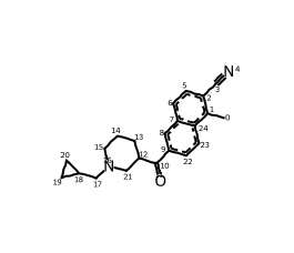 Cc1c(C#N)ccc2cc(C(=O)C3CCCN(CC4CC4)C3)ccc12